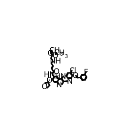 COC(CNC/C=C/C(=O)Nc1cc2c(Nc3ccc(OCc4cccc(F)c4)c(Cl)c3)c(C#N)cnc2cc1O[C@H]1CCOC1)OC